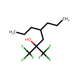 CCCC(CCC)CC(O)(C(F)(F)F)C(F)(F)F